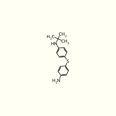 CC(C)(C)Nc1ccc(Sc2ccc(N)cc2)cc1